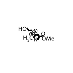 COC(=O)c1cnc(C)c(S(=O)(=O)CCCO)c1